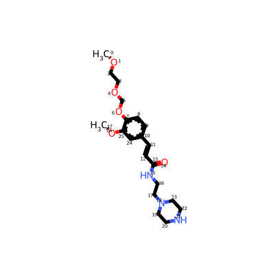 COCCOCOc1ccc(C=CC(=O)NCCN2CCNCC2)cc1OC